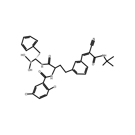 CC(C)(C)NC(=O)C(C#N)=Cc1cccc(CCC(NC(=O)c2cc(Cl)ccc2Cl)C(=O)N[C@@H](Cc2ccccc2)B(O)O)c1